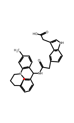 Cc1ccc(C(NC(=O)Cc2ccc3[nH]cc(CC(=O)O)c3c2)c2ccccc2)c(N2CCCCC2)c1